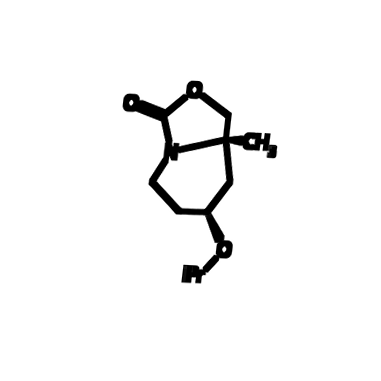 CC(C)O[C@H]1CCN2C(=O)OC[C@]2(C)C1